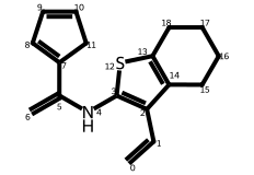 C=Cc1c(NC(=C)C2=CC=CC2)sc2c1CCCC2